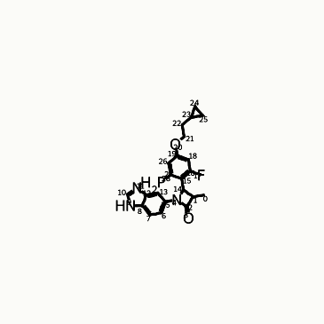 CC1C(=O)N(c2ccc3[nH]cnc3c2)C1c1c(F)cc(OCCC2CC2)cc1P